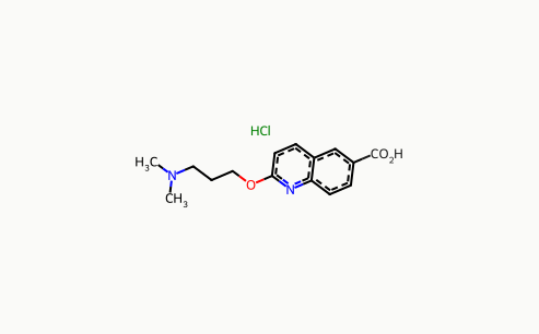 CN(C)CCCOc1ccc2cc(C(=O)O)ccc2n1.Cl